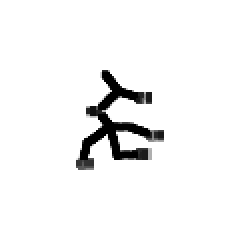 CC(O)NC(CO)(CO)CO